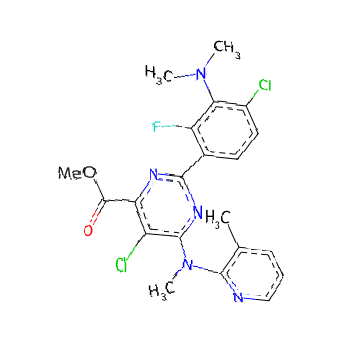 COC(=O)c1nc(-c2ccc(Cl)c(N(C)C)c2F)nc(N(C)c2ncccc2C)c1Cl